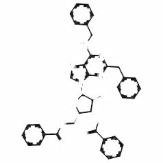 O=C(OC[C@H]1O[C@@H](n2cnc3c(NCc4ccccc4)nc(Cc4ccccc4)nc32)[C@@H](F)[C@@H]1OC(=O)c1ccccc1)c1ccccc1